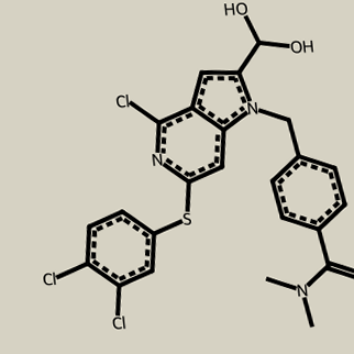 CN(C)C(=O)c1ccc(Cn2c(C(O)O)cc3c(Cl)nc(Sc4ccc(Cl)c(Cl)c4)cc32)cc1